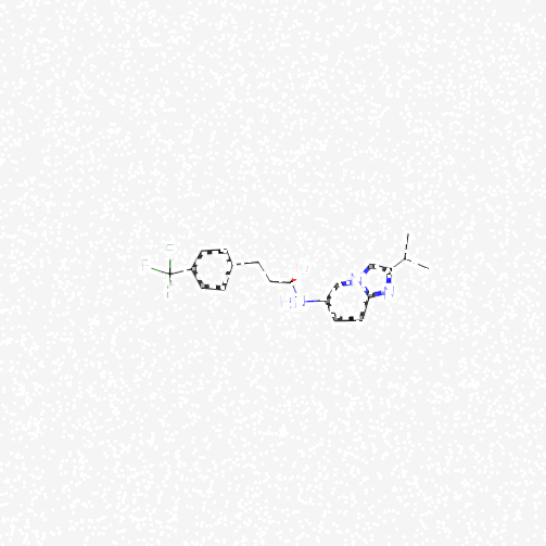 CC(C)c1cn2cc(NC(=O)CCc3ccc(C(F)(F)F)cc3)ccc2n1